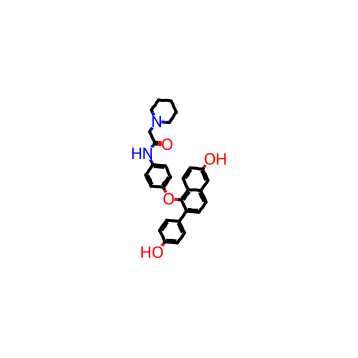 O=C(CN1CCCCC1)Nc1ccc(Oc2c(-c3ccc(O)cc3)ccc3cc(O)ccc23)cc1